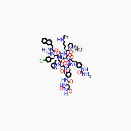 CC(=O)[C@@]1([C]=O)CCCN1C(=O)[C@H](CCCCNC(C)C)NC(=O)[C@H](CC(C)C)NC(=O)[C@@H](Cc1ccc(NC(N)=O)cc1)NC(=O)[C@H](Cc1ccc(NC(=O)[C@@H]2CC(=O)NC(=O)N2)cc1)NC(=O)[C@H](CO)NC(=O)[C@@H](Cc1cccnc1)NC(=O)[C@@H](Cc1ccc(Cl)cc1)NC(=O)[C@H](N)Cc1ccc2ccccc2c1